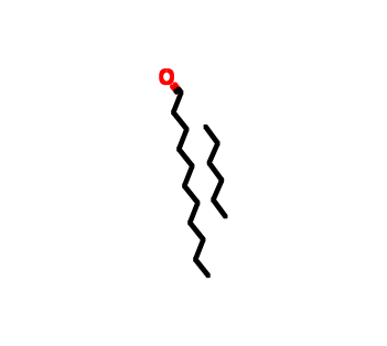 CCCCCC.CCCCCCCCCCC=O